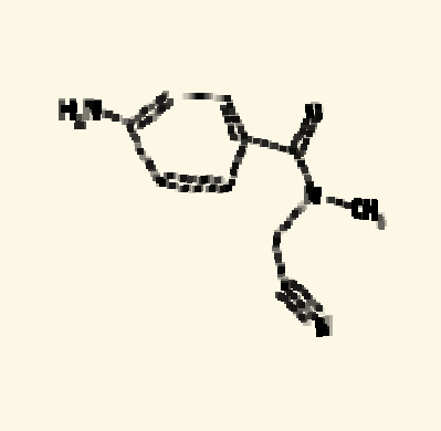 CN(CC#N)C(=O)c1ccc(N)cc1